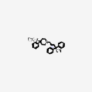 CCOC(=O)C1(c2ccccc2)CCN(C/C=C/C(C#N)(c2ccccc2)c2ccccc2)CC1